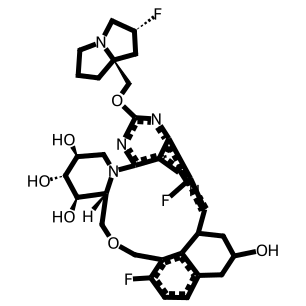 OC1Cc2ccc(F)c3c2C(C1)c1ncc2c(nc(OC[C@@]45CCCN4C[C@H](F)C5)nc2c1F)N1C[C@H](O)[C@@H](O)[C@H](O)[C@H]1COC3